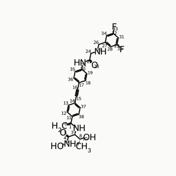 C=C(N[C@H](C(=O)NO)[C@@H](C)O)c1ccc(C#Cc2ccc(NC(=O)CNCc3cc(F)cc(F)c3)cc2)cc1